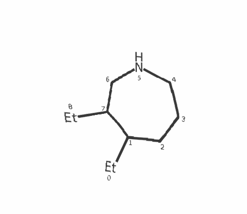 CCC1CCCNCC1CC